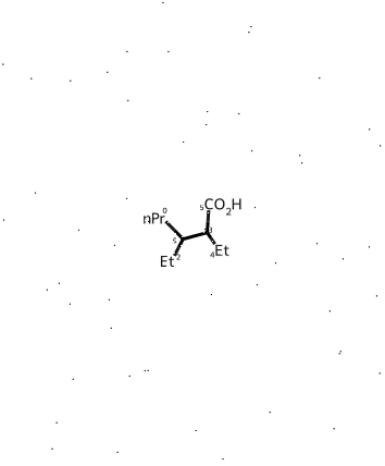 CCCC(CC)C(CC)C(=O)O